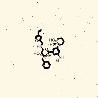 C=Cc1coc(CNC[C@@H](O)[C@H](Cc2ccccc2)NC(=O)c2cc(NCC)cc(N3CCCCS3(O)O)c2)c1